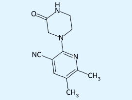 Cc1cc(C#N)c(N2CCNC(=O)C2)nc1C